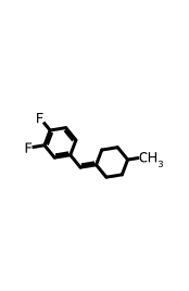 CC1CCC(=Cc2ccc(F)c(F)c2)CC1